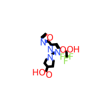 O=C(O)C(F)(F)F.O=C(O)C1CCN(c2nccc(-c3ncco3)n2)CC1